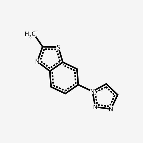 Cc1nc2ccc(-n3ccnn3)cc2s1